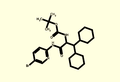 CC(C)(C)OC(=O)NC(C(=O)Nc1ccc(Br)cn1)C(C1CCCCC1)C1CCCCC1